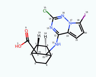 O=C(O)[C@H]1C2CCC(CC2)[C@@H]1Nc1nc(Cl)nn2c(I)ccc12